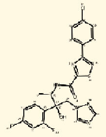 C[C@@H](NC(=O)c1nc(-c2ccc(Cl)cc2)ns1)[C@](O)(Cn1cncn1)c1ccc(F)cc1F